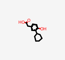 O=C(O)Cc1ccc(O)c(C2CCCCC2)c1